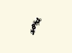 CCc1nc(-c2ccc3c(c2)CC[C@H]3NC(=O)c2ccc(=O)n(CC)c2)no1